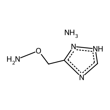 N.NOCc1nc[nH]n1